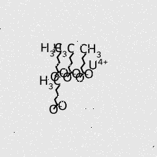 CCCCCC(=O)[O-].CCCCCC(=O)[O-].CCCCCC(=O)[O-].CCCCCC(=O)[O-].[U+4]